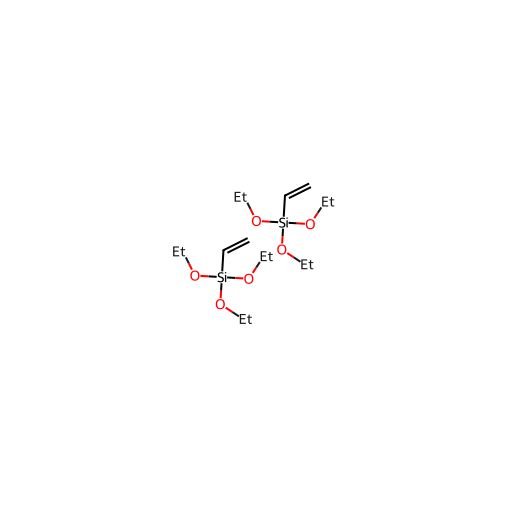 C=C[Si](OCC)(OCC)OCC.C=C[Si](OCC)(OCC)OCC